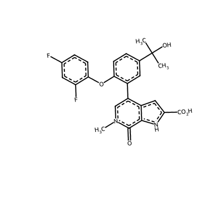 Cn1cc(-c2cc(C(C)(C)O)ccc2Oc2ccc(F)cc2F)c2cc(C(=O)O)[nH]c2c1=O